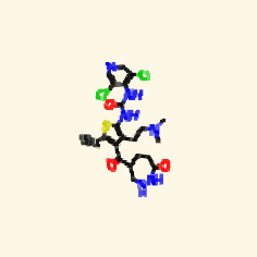 CN(C)CCc1c(NC(=O)Nc2c(Cl)cncc2Cl)sc(C(C)(C)C)c1C(=O)C1CCC(=O)NNC1